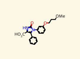 COCCCOc1cccc(-n2c(-c3ccccc3)c(C(=O)O)[nH]c2=O)c1